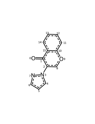 O=c1c(-n2cccn2)coc2ccccc12